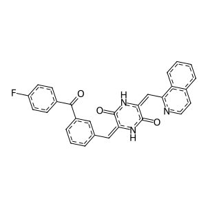 O=C(c1ccc(F)cc1)c1cccc(C=c2[nH]c(=O)c(=Cc3nccc4ccccc34)[nH]c2=O)c1